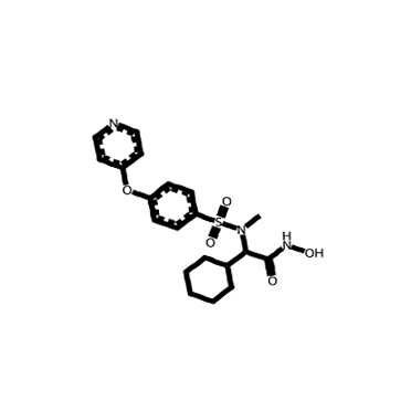 CN(C(C(=O)NO)C1CCCCC1)S(=O)(=O)c1ccc(Oc2ccncc2)cc1